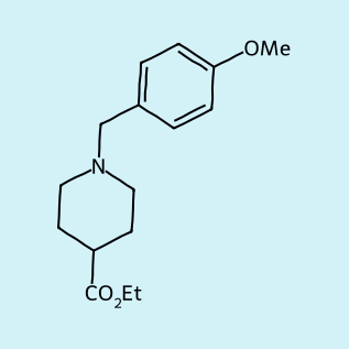 CCOC(=O)C1CCN(Cc2ccc(OC)cc2)CC1